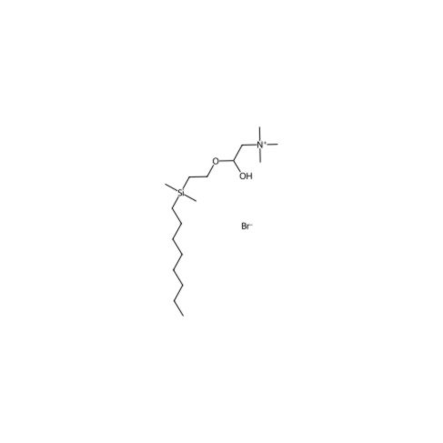 CCCCCCCC[Si](C)(C)CCOC(O)C[N+](C)(C)C.[Br-]